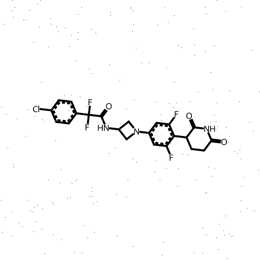 O=C1CCC(c2c(F)cc(N3CC(NC(=O)C(F)(F)c4ccc(Cl)cc4)C3)cc2F)C(=O)N1